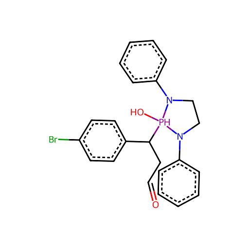 O=CCC(c1ccc(Br)cc1)[PH]1(O)N(c2ccccc2)CCN1c1ccccc1